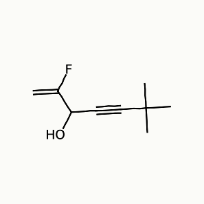 C=C(F)C(O)C#CC(C)(C)C